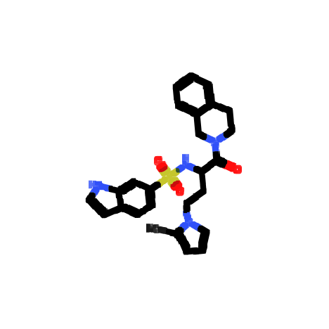 N#Cc1cccn1CCC(NS(=O)(=O)c1ccc2cc[nH]c2c1)C(=O)N1CCc2ccccc2C1